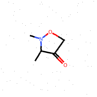 CC1C(=O)CON1C